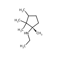 CCN[C@@]1(C)CCC(C)C1(C)C